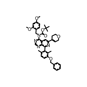 COc1ccc(CN(C(=O)OC(C)(C)C)c2ncnc3c(-c4c(C)ccc(OCc5ccccc5)c4C)nc(C4=CCOCC4)cc23)c(OC)c1